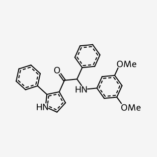 COc1cc(NC(C(=O)c2cc[nH]c2-c2ccccc2)c2ccccc2)cc(OC)c1